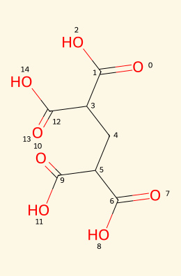 O=C(O)C(CC(C(=O)O)C(=O)O)C(=O)O